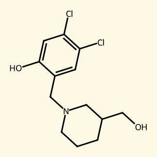 OCC1CCCN(Cc2cc(Cl)c(Cl)cc2O)C1